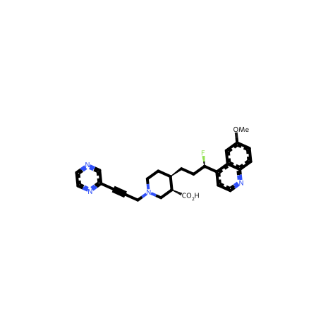 COc1ccc2nccc([C@H](F)CC[C@@H]3CCN(CC#Cc4cnccn4)C[C@@H]3C(=O)O)c2c1